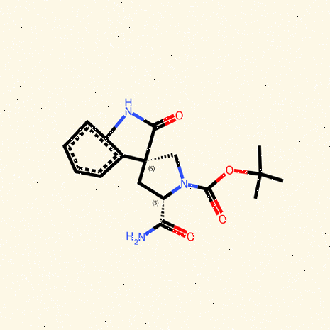 CC(C)(C)OC(=O)N1C[C@@]2(C[C@H]1C(N)=O)C(=O)Nc1ccccc12